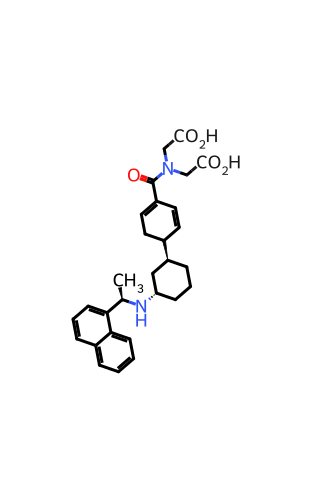 C[C@@H](N[C@H]1CCC[C@H](C2C=CC(C(=O)N(CC(=O)O)CC(=O)O)=CC2)C1)c1cccc2ccccc12